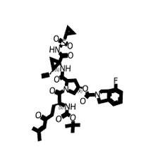 C=C[C@@H]1C[C@]1(NC(=O)C1C[C@@H](OC(=O)N2Cc3cccc(F)c3C2)CN1C(=O)[C@H](CCC(=O)C=C(C)C)NC(=O)OC(C)(C)C)C(=O)NS(=O)(=O)C1CC1